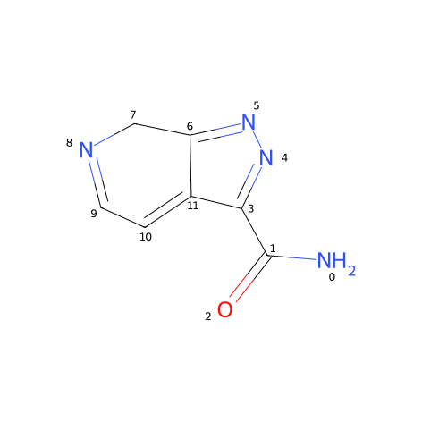 NC(=O)C1=NN=C2CN=CC=C21